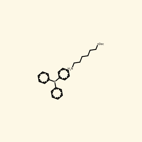 CCCCCCCCCCCCCCCCN.c1ccc(B(c2ccccc2)c2ccccc2)cc1